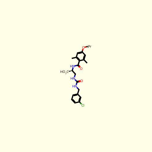 Cc1cc(OC(C)C)cc(C)c1C(=O)N[C@@H](CNC(=O)NCc1cccc(Cl)c1)C(=O)O